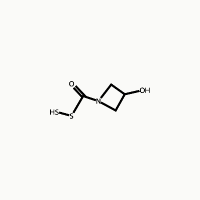 O=C(SS)N1CC(O)C1